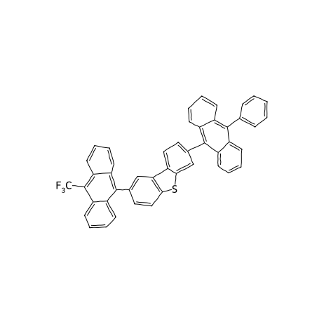 FC(F)(F)c1c2ccccc2c(-c2ccc3sc4cc(-c5c6ccccc6c(-c6ccccc6)c6ccccc56)ccc4c3c2)c2ccccc12